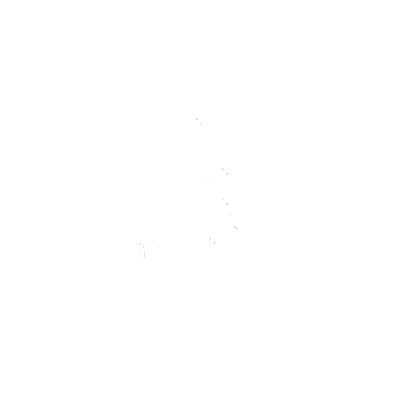 CCCC[C@H](NC(=O)[C@H](Cc1ccnc2ccccc12)NC(=O)OCc1ccccc1)C(=O)NC(CC(C)C)C(O)CC(=O)NCC(C)CC